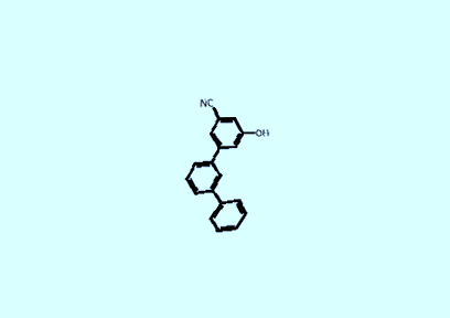 N#Cc1cc(O)cc(-c2cccc(-c3ccccc3)c2)c1